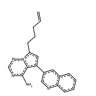 C=CCCCc1cc(-c2cnc3ccccc3c2)c2c(N)ncnn12